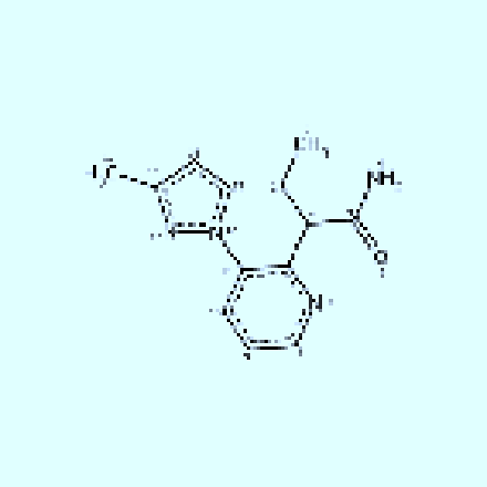 CCC(C(N)=O)c1ncccc1-n1ccc(C)n1